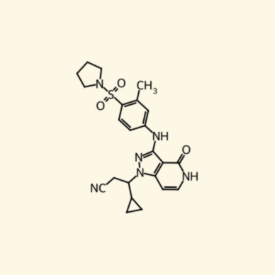 Cc1cc(Nc2nn(C(CC#N)C3CC3)c3cc[nH]c(=O)c23)ccc1S(=O)(=O)N1CCCC1